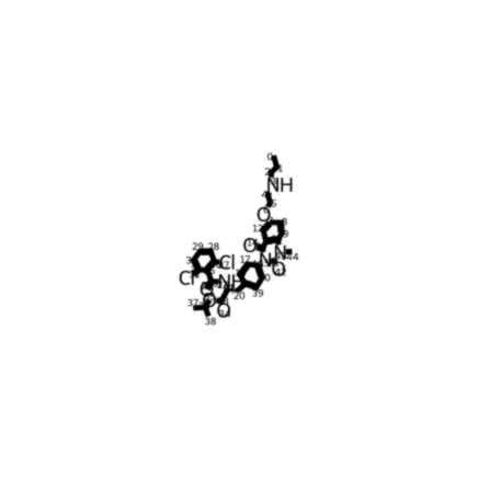 CCCNCCOc1ccc2c(c1)c(=O)n(-c1ccc(C[C@H](NC(=O)c3c(Cl)cccc3Cl)C(=O)OC(C)C)cc1)c(=O)n2C